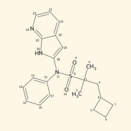 CC(C)(CC1CCC1)S(=O)(=O)N(c1ccccc1)c1cc2cccnc2[nH]1